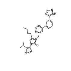 CCCCc1cn(-c2ccnn2C(C)C)c(=O)n1Cc1cc(-c2cccc(-c3nnn[nH]3)c2)ccn1